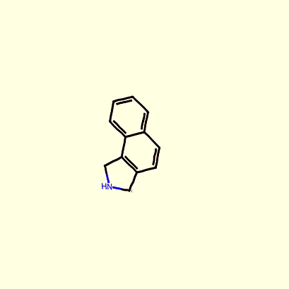 [C]1NCc2c1ccc1ccccc21